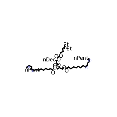 CCCCC/C=C\C/C=C\CCCCCCCC(=O)OCC(COC(=O)CCCCCCC/C=C\C/C=C\CCCCC)OC(=O)C(CCCCCCCCCC)OC(=O)OCCCN(CC)CC